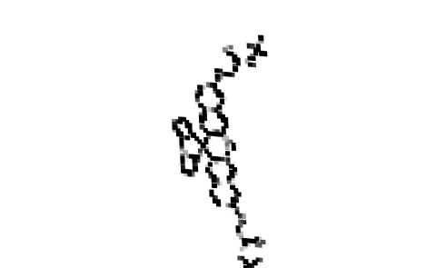 CC(C)(C)OC(=O)COc1ccc2cc3c(cc2c1)Oc1cc2cc(OCC(=O)OC(C)(C)C)ccc2cc1C31c2ccccc2-c2ccccc21